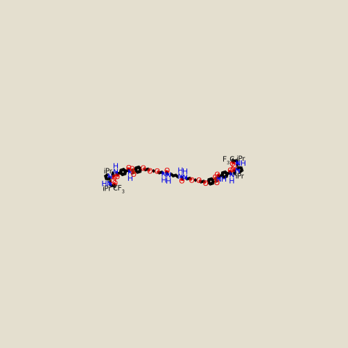 CC(C)C(NC(=O)[C@@H]1CCCN1C(=O)[C@@H](NC(=O)c1ccc(C(=O)NS(=O)(=O)c2ccc(OCCOCCOCCNC(=O)NCCCCNC(=O)NCCOCCOCCOc3ccc(S(=O)(=O)NC(=O)c4ccc(C(=O)N[C@H](C(=O)N5CCC[C@H]5C(=O)NC(C(=O)C(F)(F)F)C(C)C)C(C)C)cc4)cc3)cc2)cc1)C(C)C)C(=O)C(F)(F)F